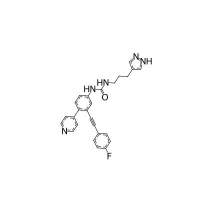 O=C(NCCCc1cn[nH]c1)Nc1ccc(-c2ccncc2)c(C#Cc2ccc(F)cc2)c1